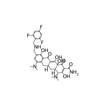 CN(C)c1cc(CNCc2c(F)cc(F)cc2F)c(O)c2c1C[C@H]1C[C@H]3[C@H](N(C)C)C(O)=C(C(N)=O)C(=O)[C@@]3(O)C(O)=C1C2=O